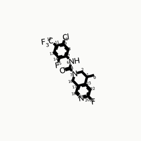 CC1CN(C(=O)Nc2cc(Cl)c(C(F)(F)F)cc2F)Cc2cnc(F)cc21